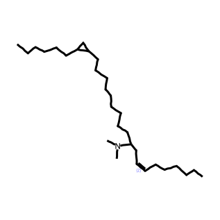 CCCCCC/C=C\CC(CCCCCCCCCC1CC1CCCCCC)N(C)C